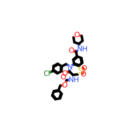 O=C(N[C@H]1CS(=O)(=O)c2ccc(C(=O)NC3CCOCC3)cc2N(Cc2ccc(Cl)cc2)C1=O)OCc1ccccc1